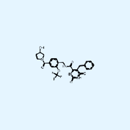 O=C(NCc1ccc(C(=O)N2CCC(O)C2)cc1OC(F)(F)F)c1[nH]c(=O)[nH]c(=O)c1Cc1ccccc1